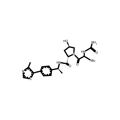 Cc1ncsc1-c1ccc([C@H](C)NC(=O)[C@@H]2C[C@@H](O)CN2C(=O)C(NC(N)=O)C(C)(C)C)cc1